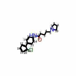 O=C(CCCCN1CCCC1)Nc1ccc(-c2ccccc2Cl)cc1